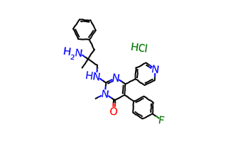 Cl.Cn1c(NCC(C)(N)Cc2ccccc2)nc(-c2ccncc2)c(-c2ccc(F)cc2)c1=O